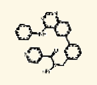 CCCN(Cc1cccc(-c2ccc3ncnc(Nc4ccccc4)c3c2)c1)C(=O)c1ccncc1